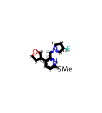 CSc1ccc(C2CCOC2)c(CN2CC[C@@H](F)C2)n1